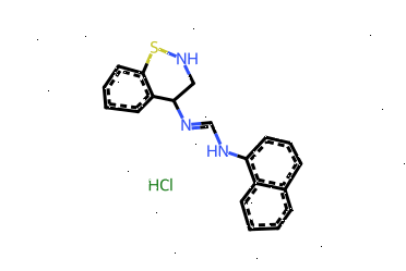 C(=NC1CNSc2ccccc21)Nc1cccc2ccccc12.Cl